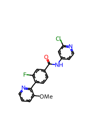 COc1cccnc1-c1ccc(C(=O)Nc2ccnc(Cl)c2)cc1F